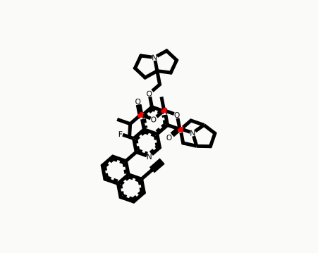 C#Cc1cccc2cccc(-c3ncc4c(N5CC6CCC(C5)N6C(=O)OC(C)OC(=O)C(C)C)nc(OCC56CCCN5CCC6)nc4c3F)c12